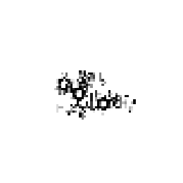 CC(C(=O)NCc1ccc(C(C)(C)C)cc1)c1ccc(NS(C)(=O)=O)c(N2CCCCC2)c1